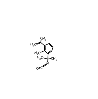 C=C(C)c1cccc(C(C)(C)N=C=O)c1C